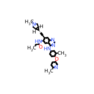 C=CC(=O)Nc1cc2c(Nc3ccc(Oc4ccc(C)nc4)c(C)c3)ncnc2cc1C#C[C@@H]1[C@H]2CN(C)C[C@@H]12